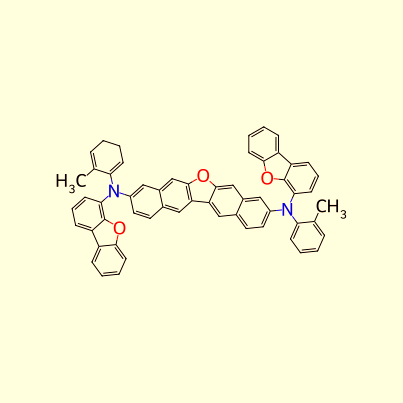 CC1=CCCC=C1N(c1ccc2cc3c(cc2c1)oc1cc2cc(N(c4ccccc4C)c4cccc5c4oc4ccccc45)ccc2cc13)c1cccc2c1oc1ccccc12